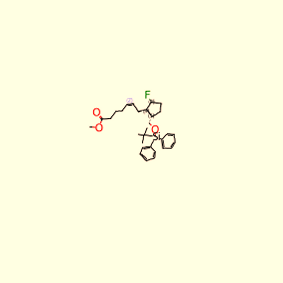 COC(=O)CCC/C=C\C[C@@H]1[C@@H](CO[Si](c2ccccc2)(c2ccccc2)C(C)(C)C)CC[C@H]1F